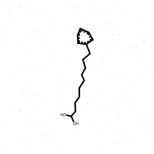 OC(O)CCCCCCCCCc1ccccc1